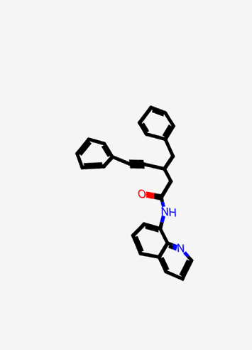 O=C(CC(C#Cc1ccccc1)Cc1ccccc1)Nc1cccc2cccnc12